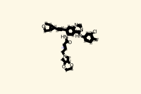 O=C(/C=C/CN1CC2OCCOC2C1)Nc1cc2c(Nc3ccc(F)c(Cl)c3)ncnc2cc1C#CC1C2COCC12